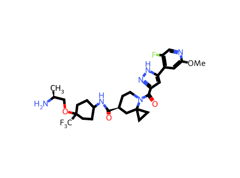 COc1cc(-c2cc(C(=O)N3CC[C@H](C(=O)NC4CCC(OC[C@H](C)N)(C(F)(F)F)CC4)CC34CC4)n[nH]2)c(F)cn1